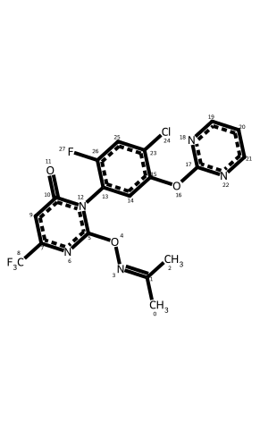 CC(C)=NOc1nc(C(F)(F)F)cc(=O)n1-c1cc(Oc2ncccn2)c(Cl)cc1F